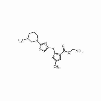 CCOC(=O)c1cc(C)cn1Cc1csc(N2CCCC(C)C2)n1